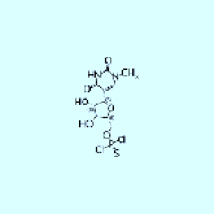 Cn1cc([C@@H]2O[C@H](COP(=S)(Cl)Cl)C(O)[C@@H]2O)c(=O)[nH]c1=O